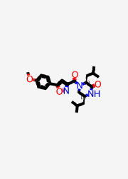 COc1ccc(-c2cc(C(=O)N3C[C@H](CC(C)C)NC(=O)[C@@H]3CC(C)C)no2)cc1